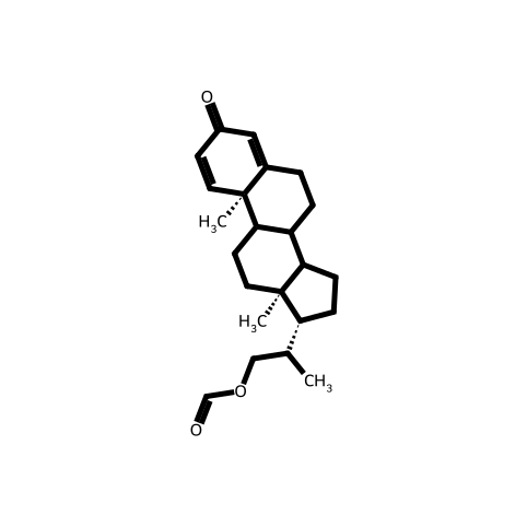 CC(COC=O)[C@H]1CCC2C3CCC4=CC(=O)C=C[C@]4(C)C3CC[C@@]21C